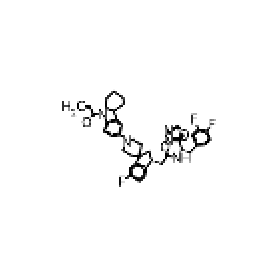 C=CC(=O)N1c2ccc(N3CCC4(CC3)C[C@@H](CC(=O)N[C@H](Cc3ccc(F)c(F)c3)c3nnco3)c3ccc(F)cc34)cc2C2CCCCC21